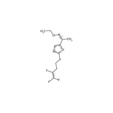 CCO/N=C(/C)c1cnc(SCCC(F)=C(F)F)o1